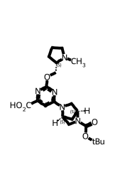 CN1CCC[C@H]1COc1nc(C(=O)O)cc(N2C[C@@H]3C[C@H]2CN3C(=O)OC(C)(C)C)n1